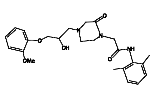 COc1ccccc1OCC(O)CN1CCN(CC(=O)Nc2c(C)cccc2C)C(=O)C1